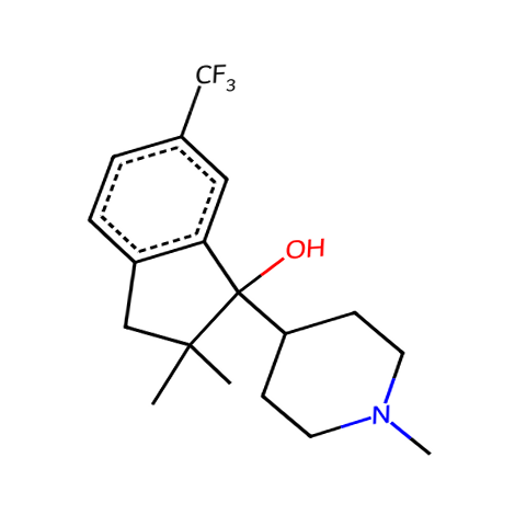 CN1CCC(C2(O)c3cc(C(F)(F)F)ccc3CC2(C)C)CC1